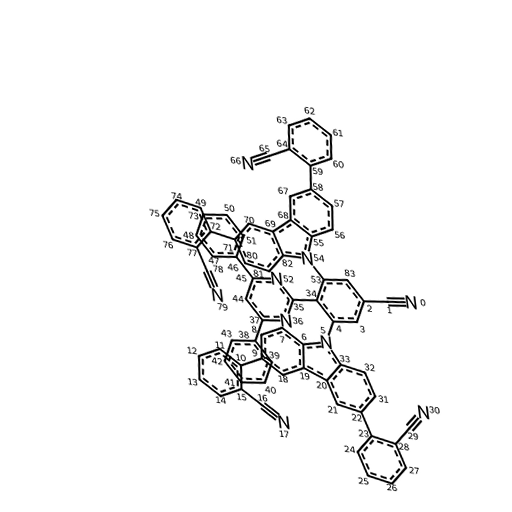 N#Cc1cc(-n2c3ccc(-c4ccccc4C#N)cc3c3cc(-c4ccccc4C#N)ccc32)c(-c2nc(-c3ccccc3)cc(-c3ccccc3)n2)c(-n2c3ccc(-c4ccccc4C#N)cc3c3cc(-c4ccccc4C#N)ccc32)c1